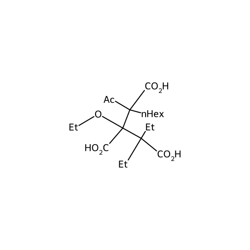 CCCCCCC(C(C)=O)(C(=O)O)C(OCC)(C(=O)O)C(CC)(CC)C(=O)O